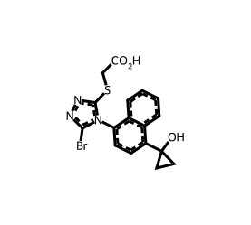 O=C(O)CSc1nnc(Br)n1-c1ccc(C2(O)CC2)c2ccccc12